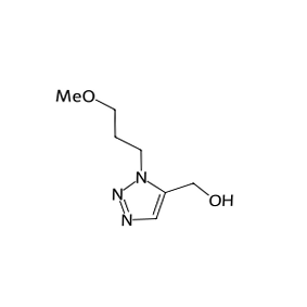 COCCCn1nncc1CO